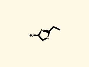 CCC1=NC(O)CO1